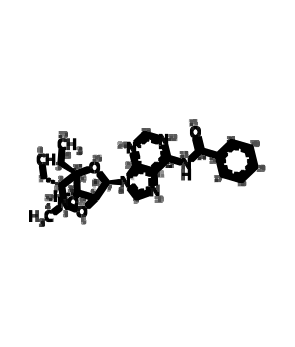 CC[C@H]1N(C)OC2[C@H](n3cnc4c(NC(=O)c5ccccc5)ncnc43)O[C@]1(CC)[C@@H]2O